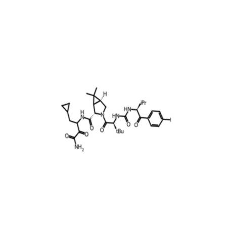 CC(C)[C@H](NC(=O)N[C@H](C(=O)N1C[C@H]2C([C@H]1C(=O)NC(CC1CC1)C(=O)C(N)=O)C2(C)C)C(C)(C)C)C(=O)c1ccc(I)cc1